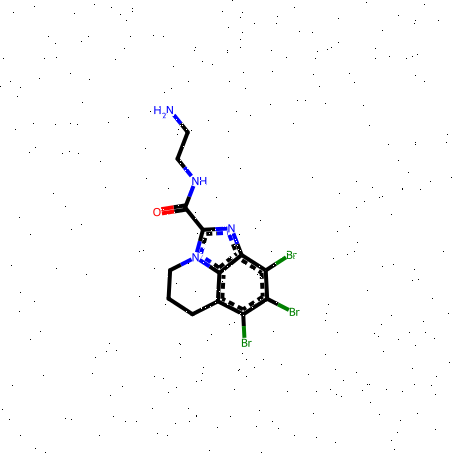 NCCNC(=O)c1nc2c(Br)c(Br)c(Br)c3c2n1CCC3